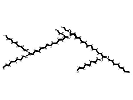 CCCCCCCCOC(CCCCCCCCCC=CC(OCC)OC(C=CCCCCCCCCCC(OCCCCCCCC)OCCCCCCCC)OCC)OCCCCCCCC